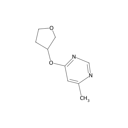 Cc1cc(OC2CCOC2)ncn1